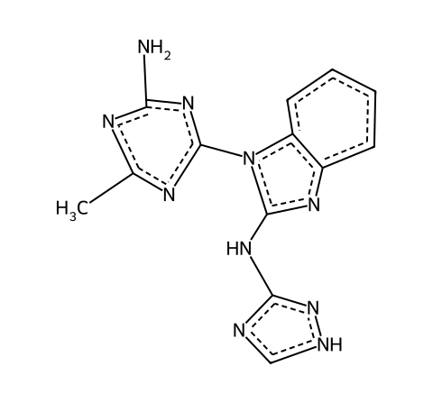 Cc1nc(N)nc(-n2c(Nc3nc[nH]n3)nc3ccccc32)n1